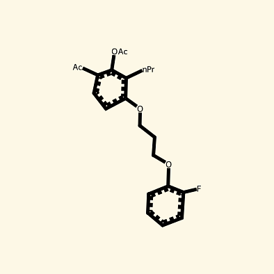 CCCc1c(OCCCOc2ccccc2F)ccc(C(C)=O)c1OC(C)=O